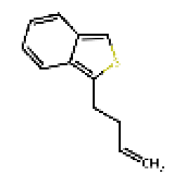 C=CCCc1scc2ccccc12